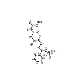 CC(C)(C)OC(=O)NC1CCC(OCC(O[Si](C)(C)C(C)(C)C)c2ccccc2)C(F)C1